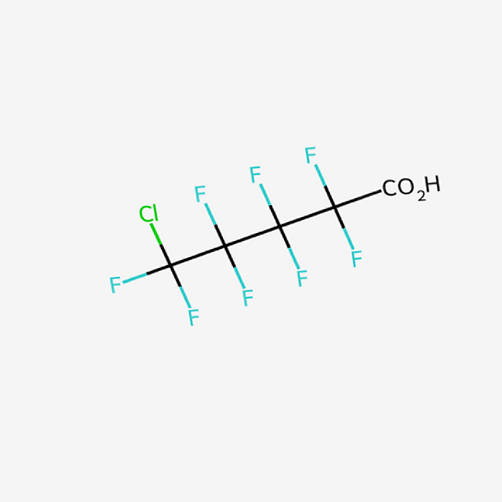 O=C(O)C(F)(F)C(F)(F)C(F)(F)C(F)(F)Cl